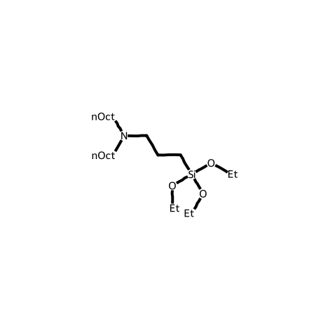 CCCCCCCCN(CCCCCCCC)CCC[Si](OCC)(OCC)OCC